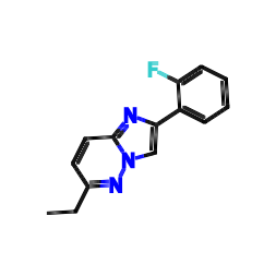 CCc1ccc2nc(-c3ccccc3F)cn2n1